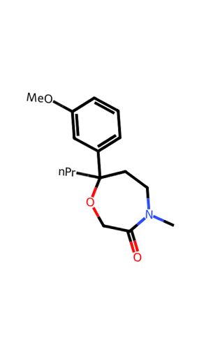 CCCC1(c2cccc(OC)c2)CCN(C)C(=O)CO1